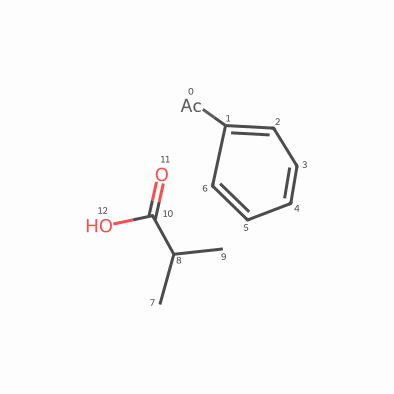 CC(=O)c1ccccc1.CC(C)C(=O)O